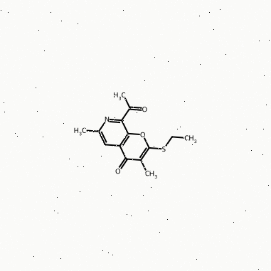 CCSc1oc2c(C(C)=O)nc(C)cc2c(=O)c1C